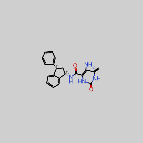 C=C1NC(=O)NC(C(=O)N[C@H]2C[C@@H](c3ccccc3)c3ccccc32)=C1N